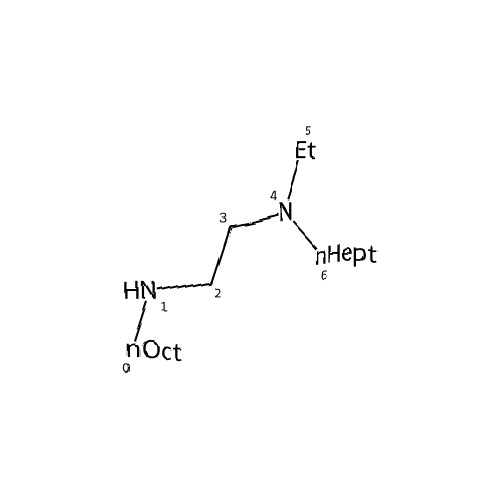 CCCCCCCCNCCN(CC)CCCCCCC